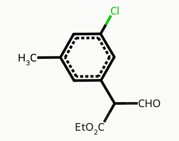 CCOC(=O)C(C=O)c1cc(C)cc(Cl)c1